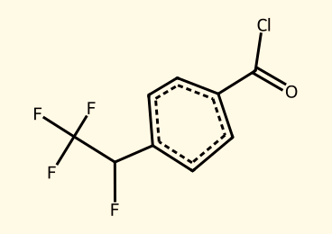 O=C(Cl)c1ccc(C(F)C(F)(F)F)cc1